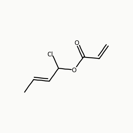 C=CC(=O)OC(Cl)/C=C/C